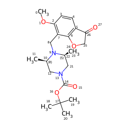 COc1ccc2c(c1CN1[C@H](C)CN(C(=O)OC(C)(C)C)C[C@@H]1C)OCC2=O